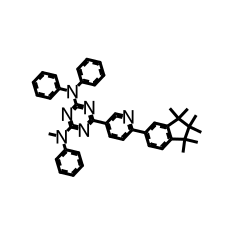 CN(c1ccccc1)c1nc(-c2ccc(-c3ccc4c(c3)C(C)(C)C(C)(C)C4(C)C)nc2)nc(N(c2ccccc2)c2ccccc2)n1